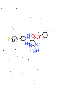 N#CC(C(=O)OCC1CCCCC1)C1Nc2ccc(-c3ccc(F)cc3)cc2N=C1N1CCNCC1